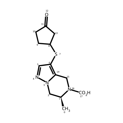 C[C@H]1Cn2ncc(SC3CCC(=O)C3)c2CN1C(=O)O